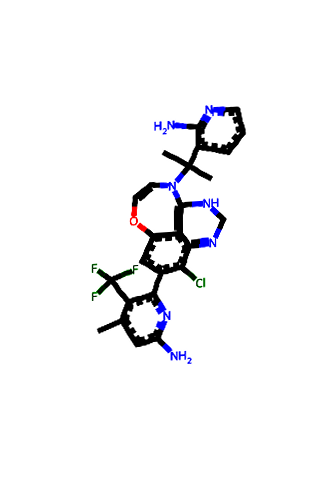 Cc1cc(N)nc(-c2cc3c4c(c2Cl)=NCNC=4N(C(C)(C)c2cccnc2N)C=CO3)c1C(F)(F)F